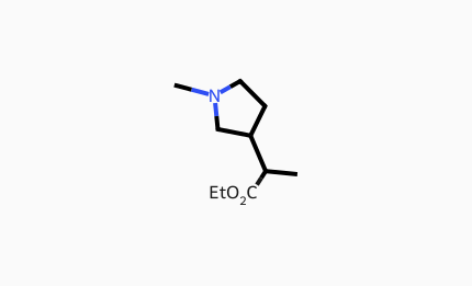 CCOC(=O)C(C)C1CCN(C)C1